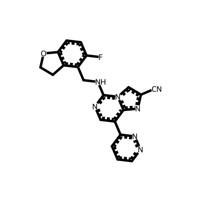 N#Cc1cn2c(NCc3c(F)ccc4c3CCO4)ncc(-c3cccnn3)c2n1